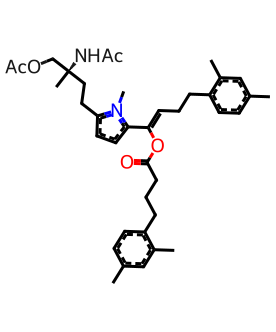 CC(=O)N[C@](C)(CCc1ccc(/C(=C/CCc2ccc(C)cc2C)OC(=O)CCCc2ccc(C)cc2C)n1C)COC(C)=O